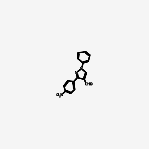 O=Cc1cn(-c2ccccc2)nc1-c1ccc([N+](=O)[O-])cc1